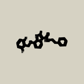 Cc1nc2c(OCc3c(F)cccc3F)cccn2c1C(=O)NCCc1ccccc1